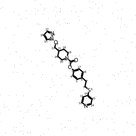 O=C(Oc1ccc(CCSc2ccncc2)cc1)N1CCC(COn2cccn2)CC1